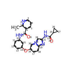 Cc1ncccc1C(=O)Nc1cccc(Oc2ccc3nc(NC(=O)C4CC4)cn3c2)c1